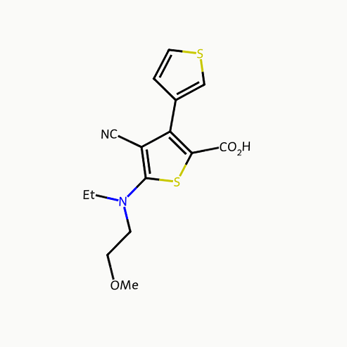 CCN(CCOC)c1sc(C(=O)O)c(-c2ccsc2)c1C#N